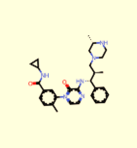 Cc1ccc(C(=O)NC2CC2)cc1-n1ccnc(N[C@@H](c2ccccc2)[C@H](C)CN2CCN[C@@H](C)C2)c1=O